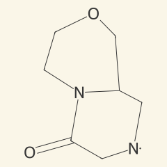 O=C1C[N]CC2COCCN12